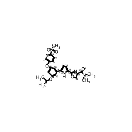 CC(C)Oc1cc(Oc2ccc(S(C)(=O)=O)nc2)cc(-c2ccc(C3=NC(C(=O)N(C)C)CO3)[nH]2)c1